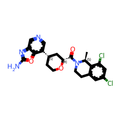 C[C@H]1c2c(Cl)cc(Cl)cc2CCN1C(=O)[C@H]1C[C@@H](c2cncc3nc(N)oc23)CCO1